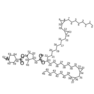 CCCCCCCCC1CC1CC1CC1CCCCCCCCC(CCCCCCCCC1CC1CC1CC1CCCCCCCC)OC(=O)CC1CCC(OC(=O)C2CCN(C)CC2)C1C